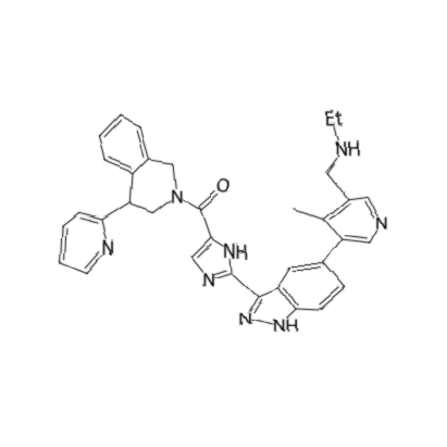 CCNCc1cncc(-c2ccc3[nH]nc(-c4ncc(C(=O)N5Cc6ccccc6C(c6ccccn6)C5)[nH]4)c3c2)c1C